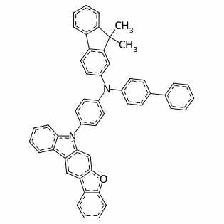 CC1(C)c2ccccc2-c2ccc(N(c3ccc(-c4ccccc4)cc3)c3ccc(-n4c5ccccc5c5cc6c(cc54)oc4ccccc46)cc3)cc21